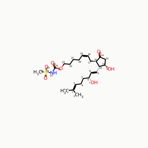 CC(C)=CCC[C@@H](O)/C=C/[C@H]1[C@H](O)CC(=O)[C@@H]1C/C=C\CCCCOC(=O)NS(C)(=O)=O